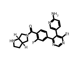 CCc1ncnc(-c2ccc(C(=O)N3C[C@@H]4CCN[C@@H]4C3)c(F)c2)c1-c1ccc(N)nc1